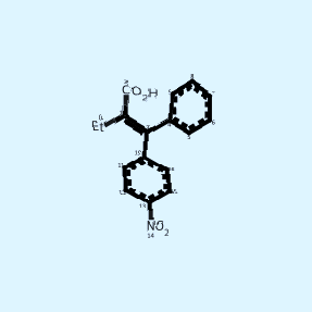 CCC(C(=O)O)=C(c1ccccc1)c1ccc([N+](=O)[O-])cc1